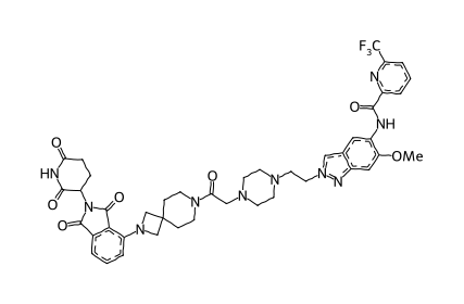 COc1cc2nn(CCN3CCN(CC(=O)N4CCC5(CC4)CN(c4cccc6c4C(=O)N(C4CCC(=O)NC4=O)C6=O)C5)CC3)cc2cc1NC(=O)c1cccc(C(F)(F)F)n1